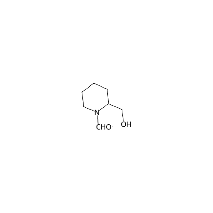 O=[C]N1CCCCC1CO